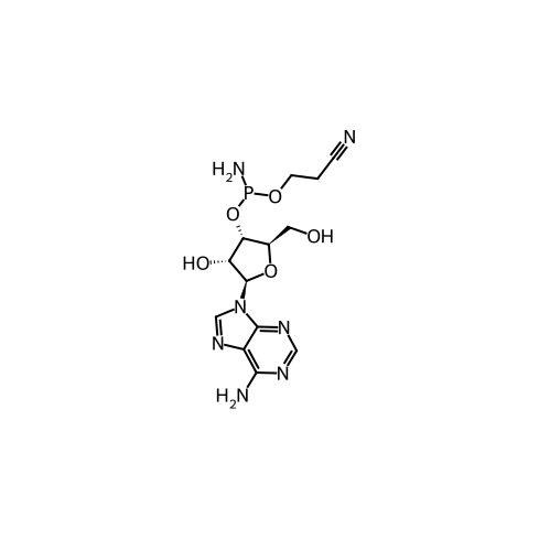 N#CCCOP(N)O[C@H]1[C@@H](O)[C@H](n2cnc3c(N)ncnc32)O[C@@H]1CO